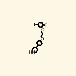 Fc1ccc(F)c(OCCCOc2ccc(C3CCNCC3)cc2)c1